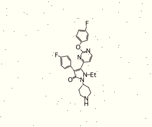 CCn1c(-c2ccnc(Oc3ccc(F)cc3)n2)c(-c2ccc(F)cc2)c(=O)n1C1CCNCC1